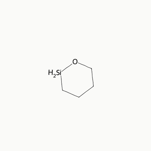 C1CC[SiH2]OC1